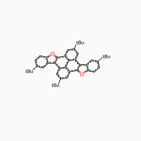 CC(C)(C)c1ccc2oc3c4cc(C(C)(C)C)cc5c6c7cc(C(C)(C)C)ccc7oc6c6cc(C(C)(C)C)cc(c3c2c1)c6c45